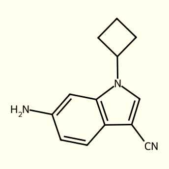 N#Cc1cn(C2CCC2)c2cc(N)ccc12